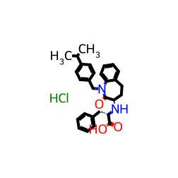 CC(C)c1ccc(CN2C(=O)[C@@H](N[C@@H](Cc3ccccc3)C(=O)O)CCc3ccccc32)cc1.Cl